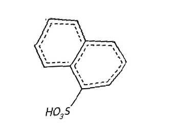 O=S(=O)(O)c1cccc2c[c]ccc12